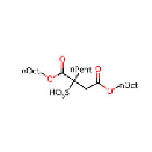 CCCCCCCCOC(=O)CC(CCCCC)(C(=O)OCCCCCCCC)S(=O)(=O)O